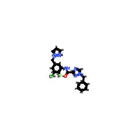 O=C(Nc1cc(Cn2cccn2)cc(Cl)c1F)c1ncn(Cc2ccccc2)n1